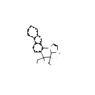 CCC1(C)c2ccc3c(oc4ccccc43)c2N2C=CN(C)[C@H]2[C@]1(C)CC